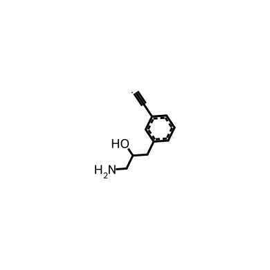 [C]#Cc1cccc(CC(O)CN)c1